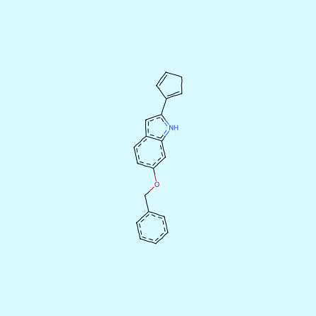 C1=CC(c2cc3ccc(OCc4ccccc4)cc3[nH]2)=CC1